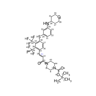 CC(C)(C)OC(=O)N1CCN(C(=O)/C=C/c2ccc(Sc3cccc(NC4CCOCC4)c3)c(C(F)(F)F)c2C(F)(F)F)CC1